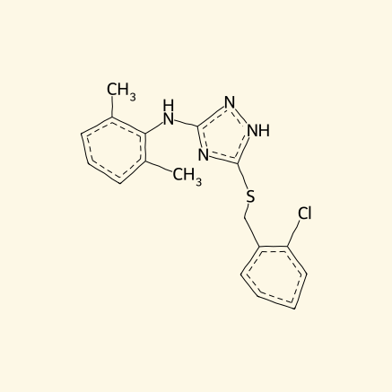 Cc1cccc(C)c1Nc1n[nH]c(SCc2ccccc2Cl)n1